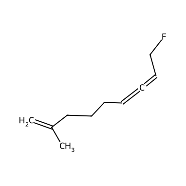 C=C(C)CCCC=C=CCF